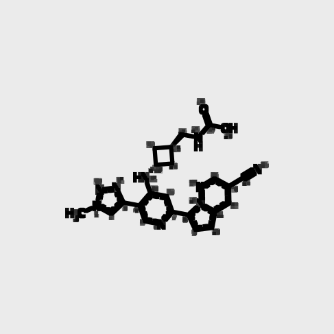 Cn1cc(-c2cnc(-c3ccc4cc(C#N)cnn34)cc2N[C@H]2C[C@H](CNC(=O)O)C2)nn1